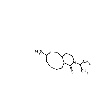 BC1CCCCC2C(=S)N(C(C)C)CCC2CC1